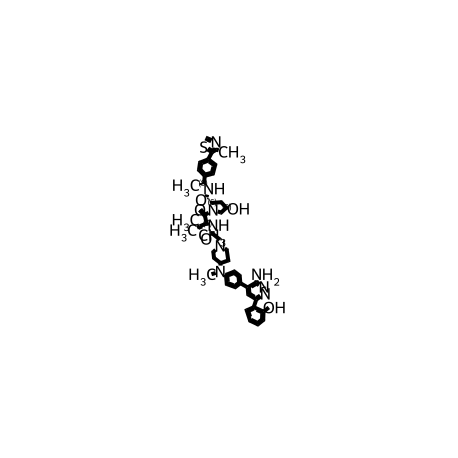 Cc1ncsc1-c1ccc([C@H](C)NC(=O)[C@@H]2C[C@@H](O)CN2C(=O)[C@@H](NC(=O)CN2CCC(N(C)c3ccc(-c4cc(-c5ccccc5O)nnc4N)cc3)CC2)C(C)(C)C)cc1